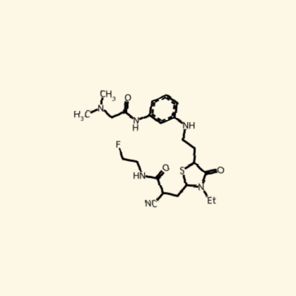 CCN1C(=O)C(CCNc2cccc(NC(=O)CN(C)C)c2)SC1CC(C#N)C(=O)NCCF